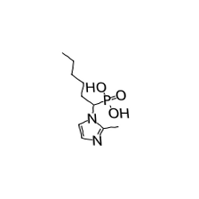 CCCCCC(n1ccnc1C)P(=O)(O)O